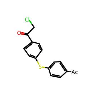 CC(=O)c1ccc(Sc2ccc(C(=O)CCl)cc2)cc1